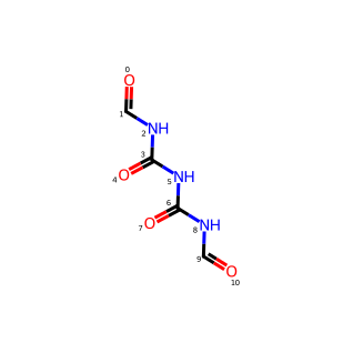 O=CNC(=O)NC(=O)NC=O